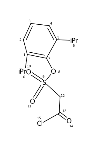 CC(C)c1cccc(C(C)C)c1OS(=O)(=O)CC(=O)Cl